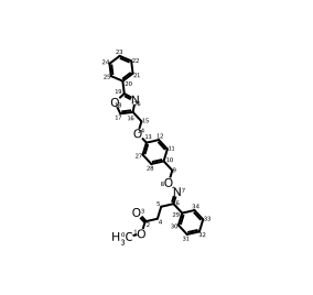 COC(=O)CC/C(=N\OCc1ccc(OCc2coc(-c3ccccc3)n2)cc1)c1ccccc1